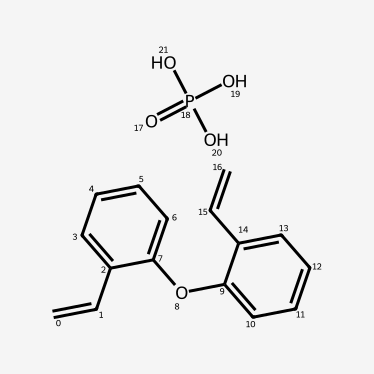 C=Cc1ccccc1Oc1ccccc1C=C.O=P(O)(O)O